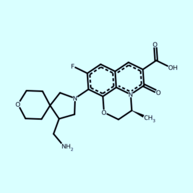 C[C@H]1COc2c(N3CC(CN)C4(CCOCC4)C3)c(F)cc3cc(C(=O)O)c(=O)n1c23